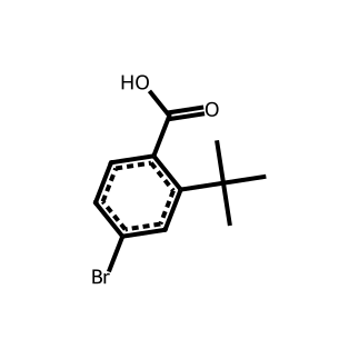 CC(C)(C)c1cc(Br)ccc1C(=O)O